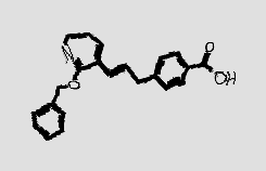 O=C(O)c1ccc(CC=Cc2cccnc2OCc2ccccc2)cc1